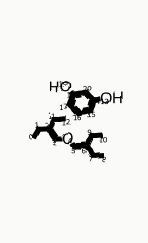 CCC(=COC=C(CC)CC)CC.Oc1cccc(O)c1